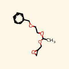 CC(OCCOCc1ccccc1)OCC1CO1